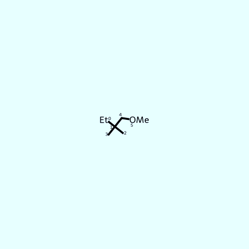 [CH2]CC(C)(C)COC